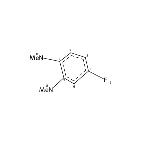 CNc1ccc(F)cc1NC